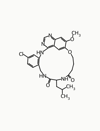 COc1cc2ncnc3c2cc1OCCCC(=O)NC(CC(C)C)C(=O)NCc1ccc(Cl)cc1N3